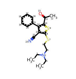 CCN(CC)CCSc1sc(C(C)=O)c(-c2ccccc2)c1C#N